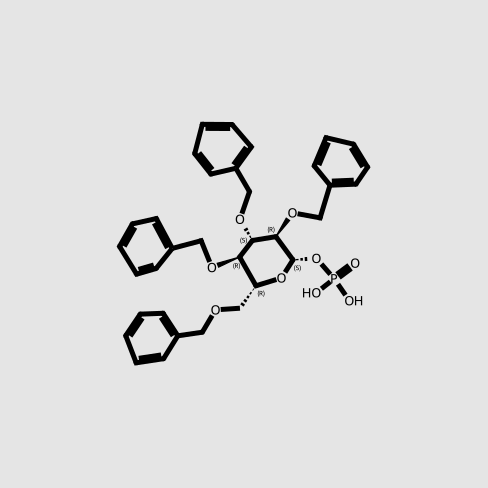 O=P(O)(O)O[C@@H]1O[C@H](COCc2ccccc2)[C@@H](OCc2ccccc2)[C@H](OCc2ccccc2)[C@H]1OCc1ccccc1